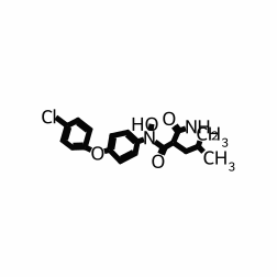 CC(C)CC(C(N)=O)C(=O)N(O)c1ccc(Oc2ccc(Cl)cc2)cc1